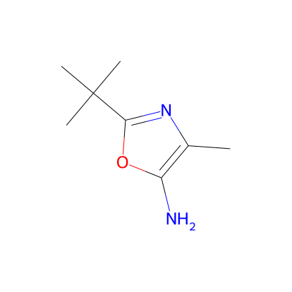 Cc1nc(C(C)(C)C)oc1N